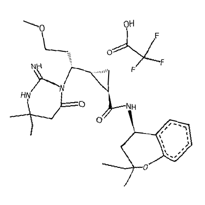 COCC[C@H]([C@@H]1C[C@H]1C(=O)N[C@@H]1CC(C)(C)Oc2ccccc21)N1C(=N)NC(C)(C)CC1=O.O=C(O)C(F)(F)F